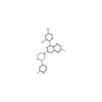 Cc1cc(C2CN(c3cc4nc(C)cnc4c(-c4ccc(Cl)cc4F)n3)CCO2)ccn1